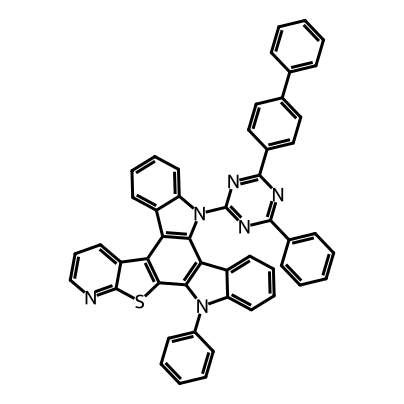 c1ccc(-c2ccc(-c3nc(-c4ccccc4)nc(-n4c5ccccc5c5c6c7cccnc7sc6c6c(c7ccccc7n6-c6ccccc6)c54)n3)cc2)cc1